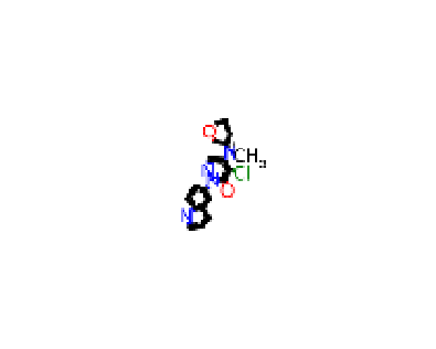 CN(c1cnn(-c2ccc3ncccc3c2)c(=O)c1Cl)[C@H]1CCCOC1